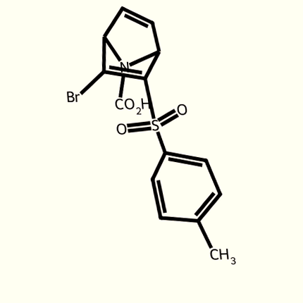 Cc1ccc(S(=O)(=O)C2=C(Br)C3C=CC2N3C(=O)O)cc1